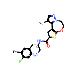 CCc1cc(C[C@@H](CN)NC(=O)C2CC3=C(OCCn4ncc(C#N)c43)S2)ccc1F